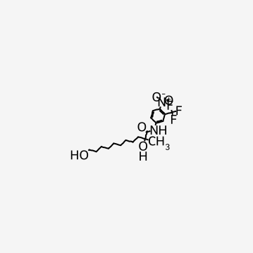 CC(O)(CCCCCCCCCO)C(=O)Nc1ccc([N+](=O)[O-])c(C(F)(F)F)c1